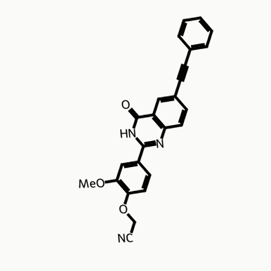 COc1cc(-c2nc3ccc(C#Cc4ccccc4)cc3c(=O)[nH]2)ccc1OCC#N